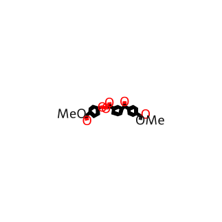 COC(=O)c1ccc(OOC(=O)c2cccc(C(=O)c3ccc(C(=O)OC)cc3)c2)cc1